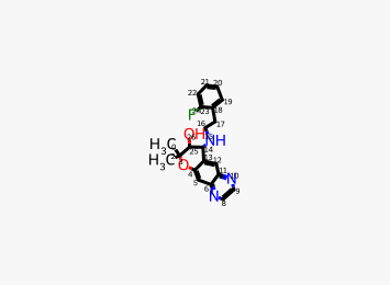 CC1(C)Oc2cc3nccnc3cc2C(NCCc2ccccc2F)C1O